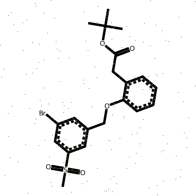 CC(C)(C)OC(=O)Cc1ccccc1OCc1cc(Br)cc(S(C)(=O)=O)c1